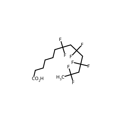 CC(F)(F)CC(F)(F)CC(F)(F)CC(F)(F)CCCCCC(=O)O